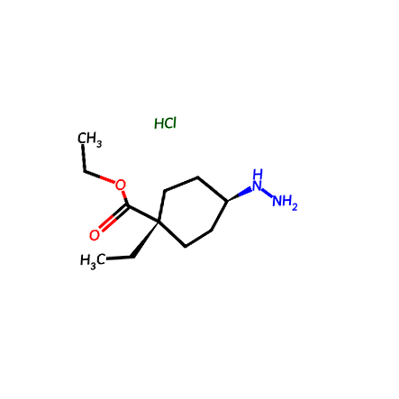 CCOC(=O)[C@]1(CC)CC[C@@H](NN)CC1.Cl